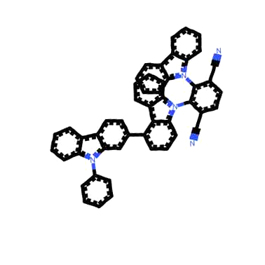 N#Cc1ccc(C#N)c(-n2c3ccccc3c3c(-c4ccc5c6ccccc6n(-c6ccccc6)c5c4)cccc32)c1-n1c2ccccc2c2ccccc21